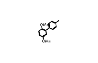 COc1ccc(OC)c(-c2ccc(C)cc2)c1